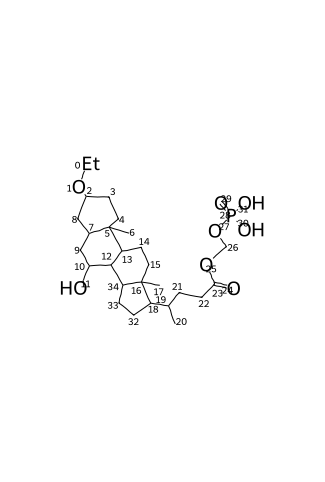 CCOC1CCC2(C)C(C1)CC(O)C1C2CCC2(C)C(C(C)CCC(=O)OCOP(=O)(O)O)CCC12